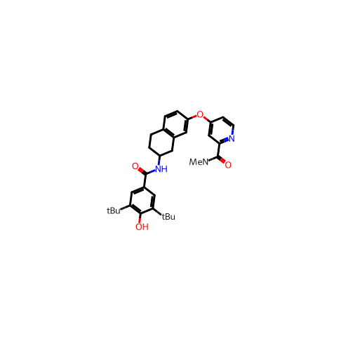 CNC(=O)c1cc(Oc2ccc3c(c2)CC(NC(=O)c2cc(C(C)(C)C)c(O)c(C(C)(C)C)c2)CC3)ccn1